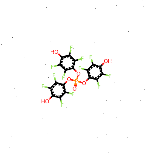 O=P(Oc1c(F)c(F)c(O)c(F)c1F)(Oc1c(F)c(F)c(O)c(F)c1F)Oc1c(F)c(F)c(O)c(F)c1F